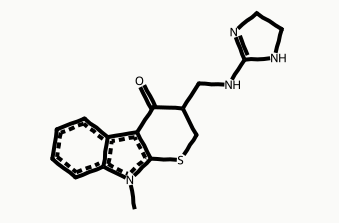 Cn1c2c(c3ccccc31)C(=O)C(CNC1=NCCN1)CS2